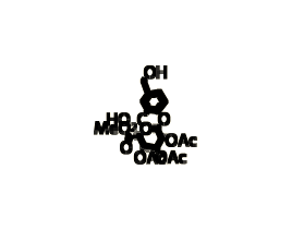 COC(=O)[C@H]1O[C@@H](Oc2ccc(CO)cc2C(=O)O)[C@H](OC(C)=O)C(OC(C)=O)[C@@H]1OC(C)=O